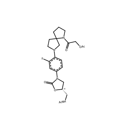 CC(=O)NC[C@H]1CN(c2ccc(N3CCC4(CCCN4C(=O)COC(C)=O)C3)c(F)c2)C(=O)O1